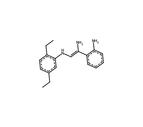 CCc1ccc(CC)c(N/C=C(\N)c2ccccc2N)c1